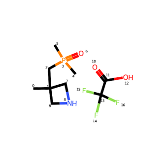 CC1(CP(C)(C)=O)CNC1.O=C(O)C(F)(F)F